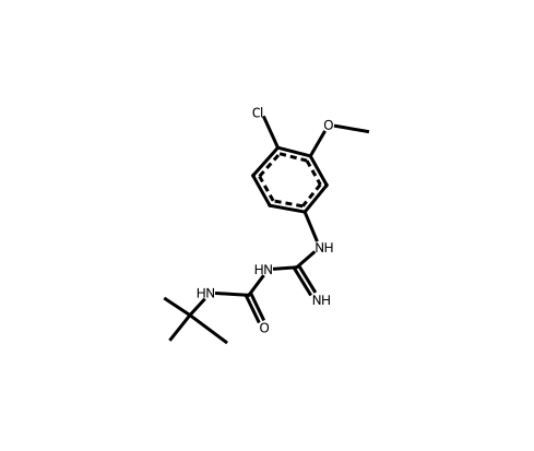 COc1cc(NC(=N)NC(=O)NC(C)(C)C)ccc1Cl